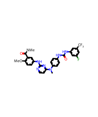 CNC(=O)c1cc(Nc2nccc(N(C)c3ccc(NC(=O)Nc4cc(F)cc(C(F)(F)F)c4)cc3)n2)ccc1OC